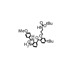 COc1ccc(C(=O)Nc2c(N)cccc2C(=O)c2ccc(C(C)(C)C)cc2OCCCNC(=O)OC(C)(C)C)cc1